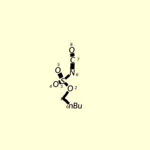 CCCCCOS(=O)(=O)N=C=O